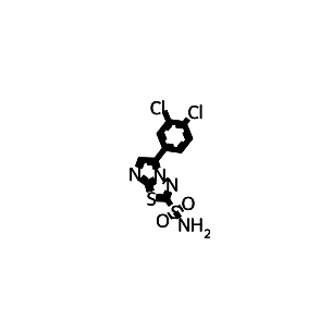 NS(=O)(=O)c1nn2c(-c3ccc(Cl)c(Cl)c3)cnc2s1